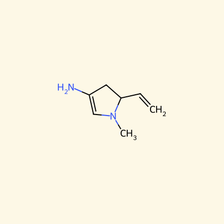 C=CC1CC(N)=CN1C